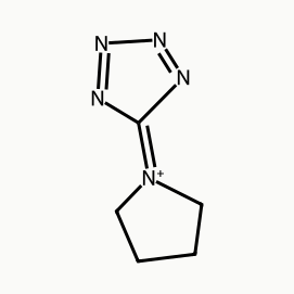 C1CC[N+](=C2N=NN=N2)C1